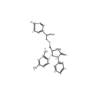 O=C1N[C@H](CCCC(O)c2ccc(F)cc2)[C@@H](c2ccc(O)cc2O)N1c1ccccc1